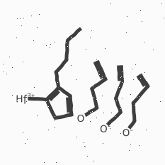 C=CCC[O-].C=CCC[O-].C=CCC[O-].CCCCC1=[C]([Hf+3])CC=C1